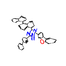 c1ccc(-c2ccc(-c3nc(-c4ccc5c(c4)oc4ccccc45)nc(-c4cccc5c(-c6cccc7ccccc67)cccc45)n3)cc2)cc1